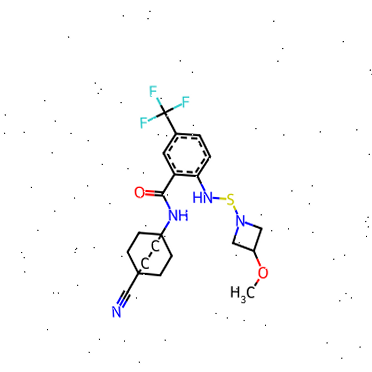 COC1CN(SNc2ccc(C(F)(F)F)cc2C(=O)NC23CCC(C#N)(CC2)CC3)C1